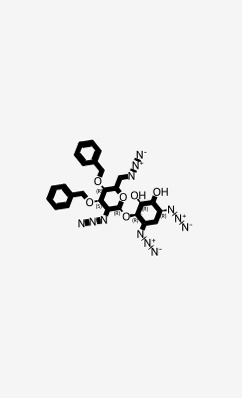 [N-]=[N+]=NCC1O[C@H](O[C@@H]2C(N=[N+]=[N-])C[C@@H](N=[N+]=[N-])C(O)[C@H]2O)C(N=[N+]=[N-])[C@H](OCc2ccccc2)[C@@H]1OCc1ccccc1